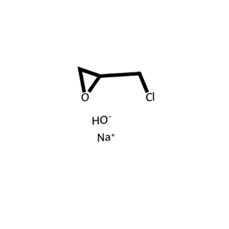 ClCC1CO1.[Na+].[OH-]